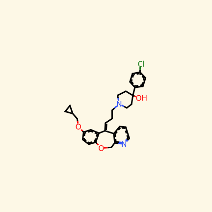 OC1(c2ccc(Cl)cc2)CCN(CC/C=C2/c3cc(OCC4CC4)ccc3OCc3ncccc32)CC1